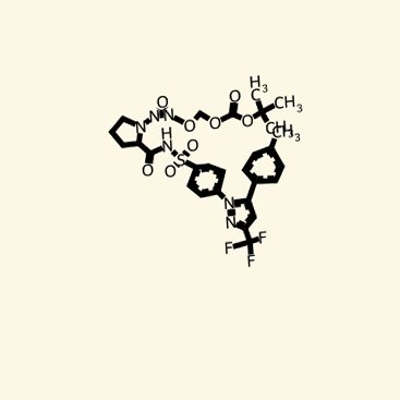 Cc1ccc(-c2cc(C(F)(F)F)nn2-c2ccc(S(=O)(=O)NC(=O)C3CCCN3n3on3OCOC(=O)OC(C)(C)C)cc2)cc1